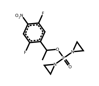 CC(OP(=O)(N1CC1)N1CC1)c1cc(F)c([N+](=O)[O-])cc1F